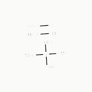 CC(=O)O.CC(=O)O.CCC[CH2][Sn]([CH2]CCC)([O]C)[O]C